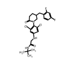 CC(C)(C)NC(=O)CNc1cc(Cl)c(N2CC(Cc3ccc(F)cc3F)CCC2=O)c(Cl)c1